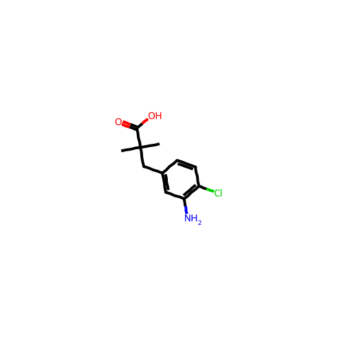 CC(C)(Cc1ccc(Cl)c(N)c1)C(=O)O